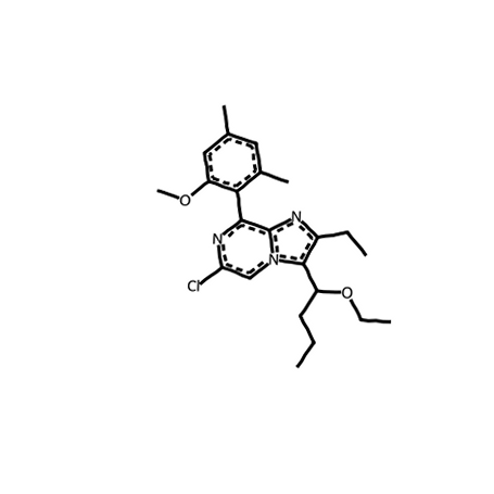 CCCC(OCC)c1c(CC)nc2c(-c3c(C)cc(C)cc3OC)nc(Cl)cn12